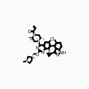 C=CC(=O)N1C[C@H](C)N(c2nc(OC[C@@H]3CCN(C)C3)nc3c(F)c(-c4c(C)ccc5[nH]nc(C6CC6)c45)c(Cl)cc23)C[C@H]1C